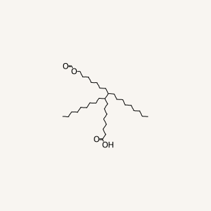 CCCCCCCCCC(CCCCCCCOC=O)C(CCCCCCCCC)CCCCCCCC(=O)O